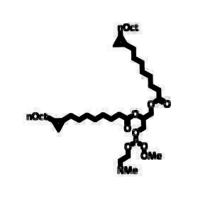 CCCCCCCCC1CC1CCCCCCCC(=O)OCC(COP(OCCNC)OOC)OC(=O)CCCCCCCC1CC1CCCCCCCC